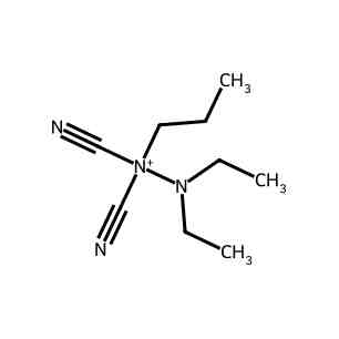 CCC[N+](C#N)(C#N)N(CC)CC